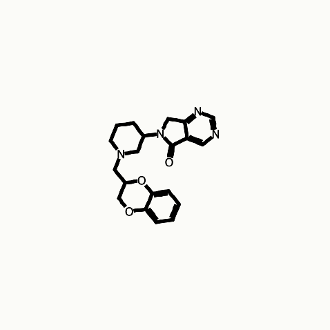 O=C1c2cncnc2CN1C1CCCN(CC2COc3ccccc3O2)C1